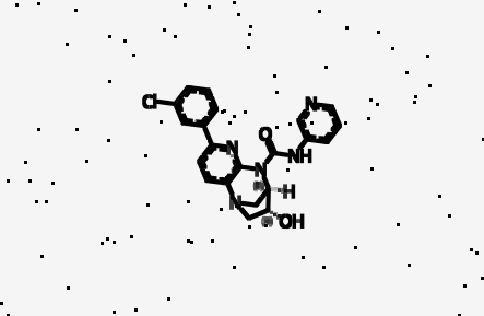 O=C(Nc1cccnc1)N1c2nc(-c3cccc(Cl)c3)ccc2N2C[C@@H](O)[C@H]1C2